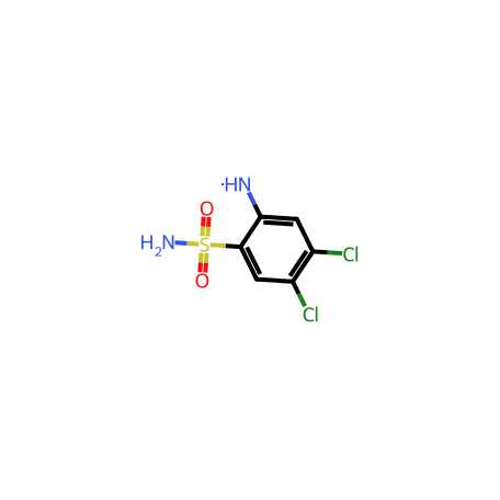 [NH]c1cc(Cl)c(Cl)cc1S(N)(=O)=O